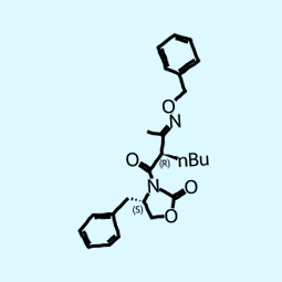 CCCC[C@@H](C(=O)N1C(=O)OC[C@@H]1Cc1ccccc1)C(C)=NOCc1ccccc1